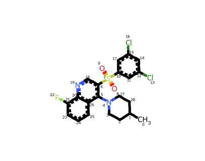 CC1CCN(c2c(S(=O)(=O)c3cc(Cl)cc(Cl)c3)cnc3c(F)cccc23)CC1